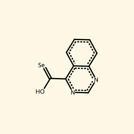 OC(=[Se])c1ncnc2ccccc12